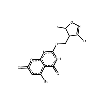 CCC1=NOC(C)C1COc1nc2oc(=O)cc(CC)c2c(=O)[nH]1